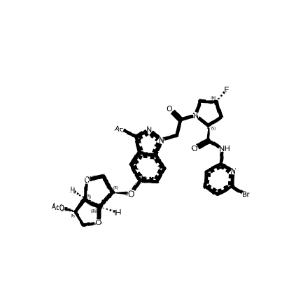 CC(=O)O[C@@H]1CO[C@H]2[C@@H]1OC[C@H]2Oc1ccc2c(c1)c(C(C)=O)nn2CC(=O)N1C[C@H](F)C[C@H]1C(=O)Nc1cccc(Br)n1